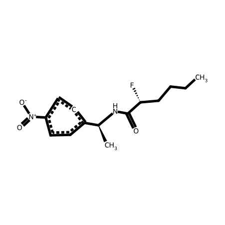 CCCC[C@@H](F)C(=O)N[C@@H](C)c1ccc([N+](=O)[O-])cc1